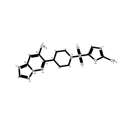 Cc1ncc(S(=O)(=O)N2CCC(c3nn4ncnc4cc3C)CC2)o1